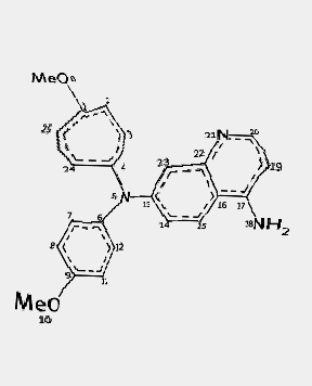 COc1ccc(N(c2ccc(OC)cc2)c2ccc3c(N)ccnc3c2)cc1